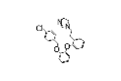 Clc1ccc(COc2ccccc2Oc2ccccc2CCN2C=NCC2)cc1